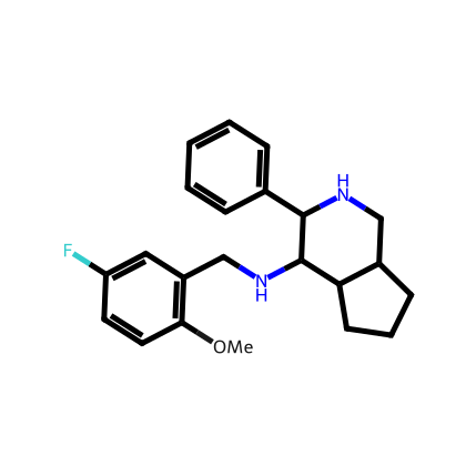 COc1ccc(F)cc1CNC1C(c2ccccc2)NCC2CCCC21